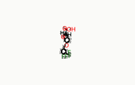 O=C(O)[C@H]1[C@@H]2OC3=CC(OCc4ccc(F)c(C(F)(F)F)c4)=CCC3[C@@H]21